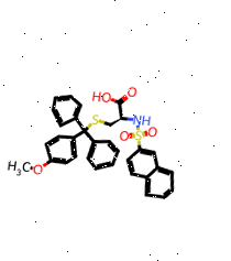 COc1ccc(C(SC[C@H](NS(=O)(=O)c2ccc3ccccc3c2)C(=O)O)(c2ccccc2)c2ccccc2)cc1